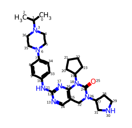 CC(C)N1CCN(c2ccc(Nc3ncc4c(n3)N(C3CCCC3)C(=O)N(C3CCNC3)C4)cc2)CC1